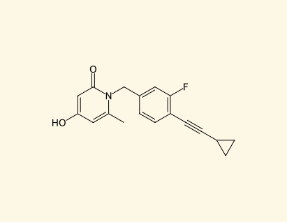 Cc1cc(O)cc(=O)n1Cc1ccc(C#CC2CC2)c(F)c1